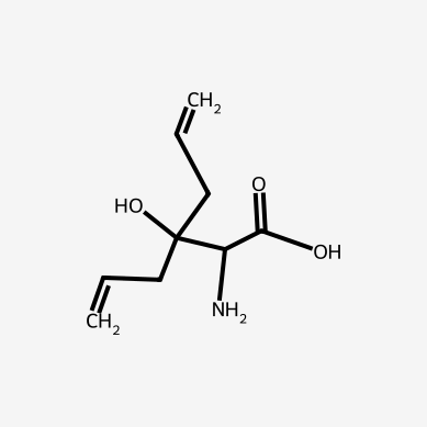 C=CCC(O)(CC=C)C(N)C(=O)O